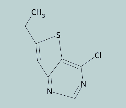 CCc1cc2ncnc(Cl)c2s1